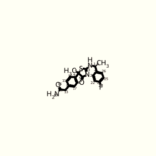 C[C@H](NC1=NC(=O)C(C)(c2ccc(CC(N)=O)cc2)S1)c1ccc(F)cc1